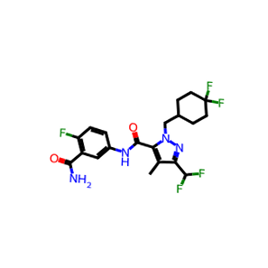 Cc1c(C(F)F)nn(CC2CCC(F)(F)CC2)c1C(=O)Nc1ccc(F)c(C(N)=O)c1